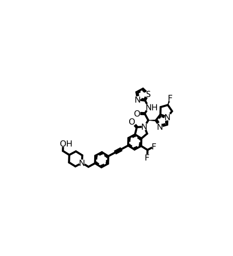 O=C(Nc1nccs1)[C@@H](c1ncn2c1C[C@@H](F)C2)N1Cc2c(cc(C#Cc3ccc(CN4CCC(CO)CC4)cc3)cc2C(F)F)C1=O